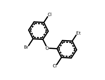 CCc1ccc(Cl)c(Oc2cc(Cl)ccc2Br)c1